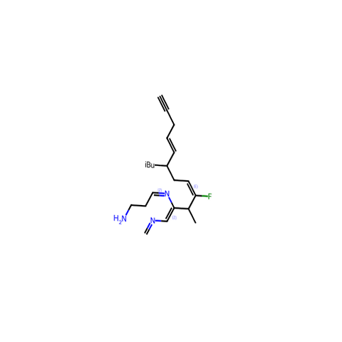 C#CCC=CC(C/C=C(/F)C(C)C(=C/N=C)/N=C\CCN)C(C)CC